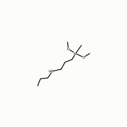 CCCNCCC[Si](C)(OC)OC